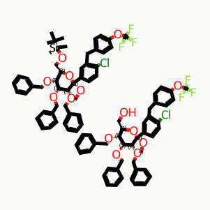 CO[C@@]1(c2ccc(Cl)c(Cc3ccc(OC(F)(F)F)cc3)c2)O[C@H](CO)[C@@H](OCc2ccccc2)[C@H](OCc2ccccc2)[C@H]1OCc1ccccc1.CO[C@@]1(c2ccc(Cl)c(Cc3ccc(OC(F)(F)F)cc3)c2)O[C@H](CO[Si](C)(C)C(C)(C)C)[C@@H](OCc2ccccc2)[C@H](OCc2ccccc2)[C@H]1OCc1ccccc1